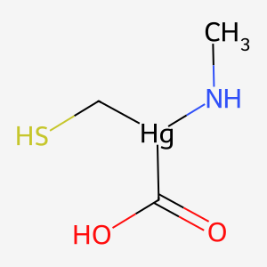 C[NH][Hg]([CH2]S)[C](=O)O